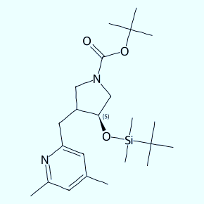 Cc1cc(C)nc(CC2CN(C(=O)OC(C)(C)C)C[C@H]2O[Si](C)(C)C(C)(C)C)c1